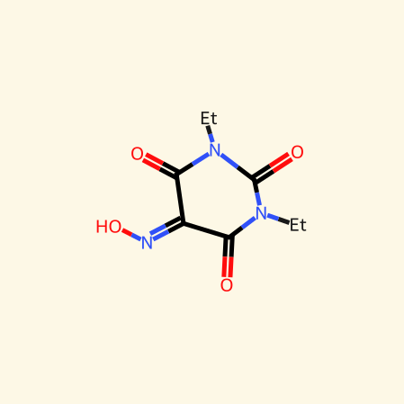 CCN1C(=O)C(=NO)C(=O)N(CC)C1=O